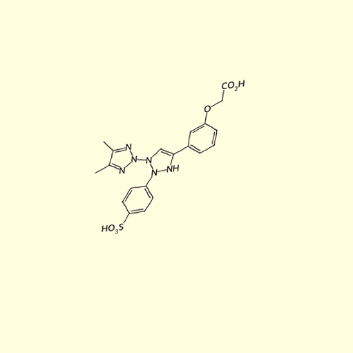 Cc1nn(N2C=C(c3cccc(OCC(=O)O)c3)NN2c2ccc(S(=O)(=O)O)cc2)nc1C